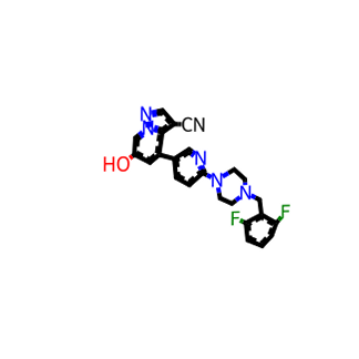 N#Cc1cnn2cc(O)cc(-c3ccc(N4CCN(Cc5c(F)cccc5F)CC4)nc3)c12